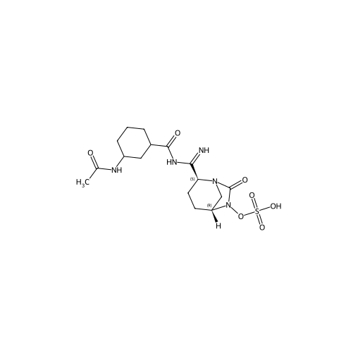 CC(=O)NC1CCCC(C(=O)NC(=N)[C@@H]2CC[C@@H]3CN2C(=O)N3OS(=O)(=O)O)C1